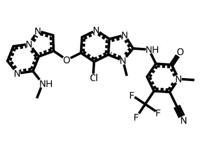 CNc1nccn2ncc(Oc3cnc4nc(Nc5cc(C(F)(F)F)c(C#N)n(C)c5=O)n(C)c4c3Cl)c12